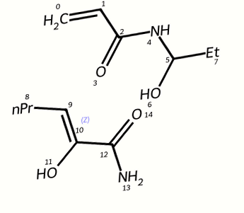 C=CC(=O)NC(O)CC.CCC/C=C(\O)C(N)=O